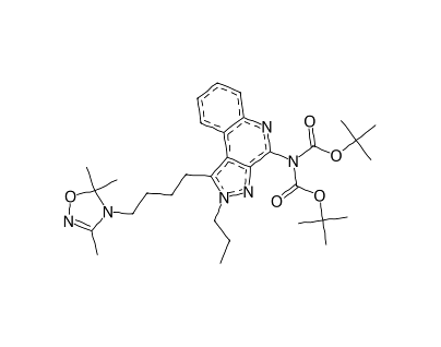 CCCn1nc2c(N(C(=O)OC(C)(C)C)C(=O)OC(C)(C)C)nc3ccccc3c2c1CCCCN1C(C)=NOC1(C)C